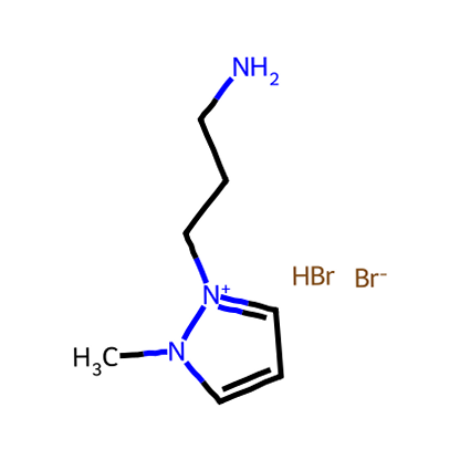 Br.Cn1ccc[n+]1CCCN.[Br-]